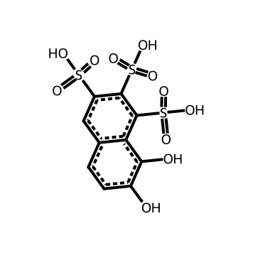 O=S(=O)(O)c1cc2ccc(O)c(O)c2c(S(=O)(=O)O)c1S(=O)(=O)O